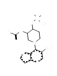 CC(C)(C)[Si](C)(C)OC1CCN(c2c(N)cnc3ccsc23)CC1OC(N)=O